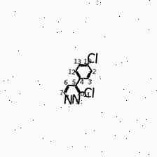 Clc1ccc(-c2ccnnc2Cl)cc1